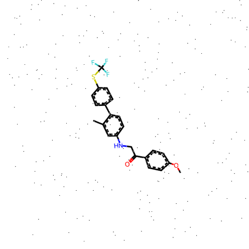 COc1ccc(C(=O)CNc2ccc(-c3ccc(SC(F)(F)F)cc3)c(C)c2)cc1